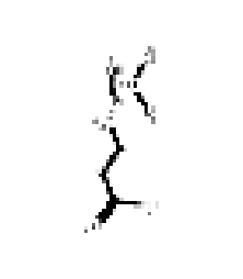 CC(C)O.CCCC(=O)O.CCOCC